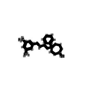 CCN1CCCC(CCOCc2cc(C(F)(F)F)cc(C(F)(F)F)c2)(c2ccccc2)CC1